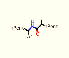 CCCCCC(C)C(=O)NC(CCCCC)C(C)=O